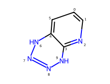 c1cnc2c(c1)NN=NN2